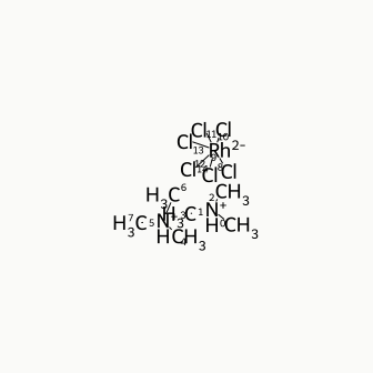 C[NH+](C)C.C[NH+](C)C.[Cl][Rh-2]([Cl])([Cl])([Cl])([Cl])[Cl]